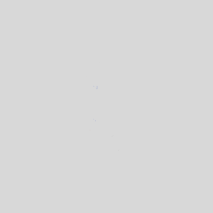 O=C(CCl)NCC1CCN(S(=O)(=O)Cc2cccc(F)c2)CC1